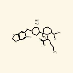 CCCCC(C(=O)O)N1C(B(O)O)CCCC1(N)C1CCN(Cc2cc3c(cc2Cl)OCO3)CC1.Cl.Cl